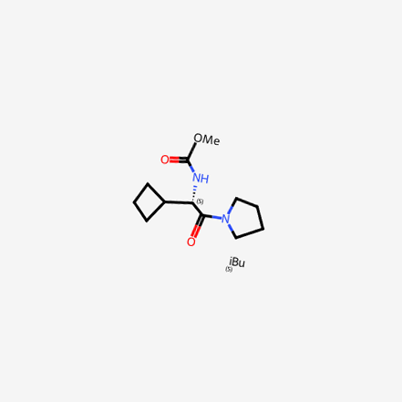 CC[C@H](C)C1CCCN1C(=O)[C@@H](NC(=O)OC)C1CCC1